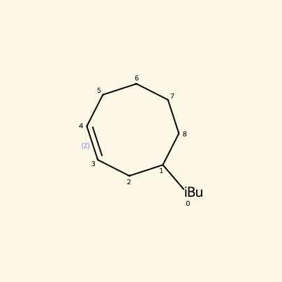 C[CH]C(C)C1C/C=C\CCCC1